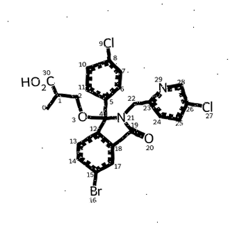 CC(COC1(c2ccc(Cl)cc2)c2ccc(Br)cc2C(=O)N1Cc1ccc(Cl)cn1)C(=O)O